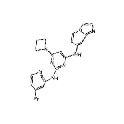 CCc1ccnc(Nc2nc(Nc3ccn4ccnc4c3)cc(N3CCC3)n2)c1